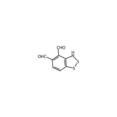 O=Cc1ccc2c(c1C=O)NSS2